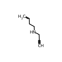 C#CCNCCC=C